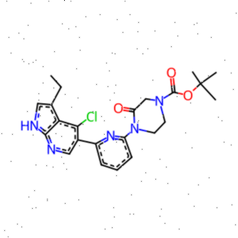 CCc1c[nH]c2ncc(-c3cccc(N4CCN(C(=O)OC(C)(C)C)CC4=O)n3)c(Cl)c12